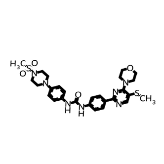 CSc1cnc(-c2ccc(NC(=O)Nc3ccc(N4CCN(S(C)(=O)=O)CC4)cc3)cc2)nc1N1CCOCC1